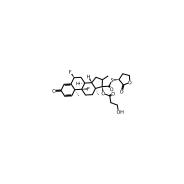 CC1C[C@H]2[C@@H]3C[C@H](F)C4=CC(=O)C=C[C@]4(C)[C@@]3(F)CC[C@]2(C)[C@@]1(OC(=O)CCO)C(=O)S[C@H]1CCOC1=O